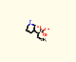 CCC(C1CCCNC1)[Si](O)(O)O